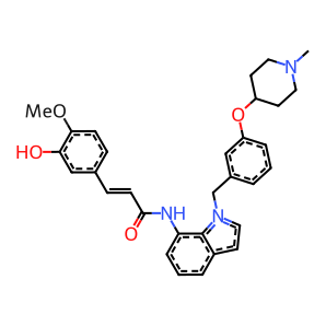 COc1ccc(/C=C/C(=O)Nc2cccc3ccn(Cc4cccc(OC5CCN(C)CC5)c4)c23)cc1O